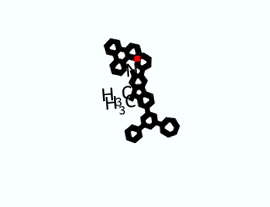 CC1(C)c2cc(C3=CC(c4ccccc4)CC(C4=CC=CCC=C4)=C3)ccc2-c2cc3c4ccccc4n(-c4cccc5c6ccccc6c6ccccc6c45)c3cc21